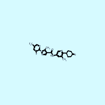 Cc1cc(NC(=O)c2cnn(-c3ncc(C(F)(F)F)cc3F)c2C)cnc1C1CCC(=O)CC1